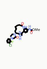 COC(=O)Nc1ccc2c(c1)NC(=O)CC/C=C/CC(N1CCN(c3cccc(Cl)c3F)CC1=O)c1nc-2c[nH]1